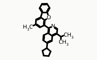 Cc1cc(-c2ncc(C(C)C)c3cc(C4CCCC4)ccc23)c2oc3ccccc3c2c1